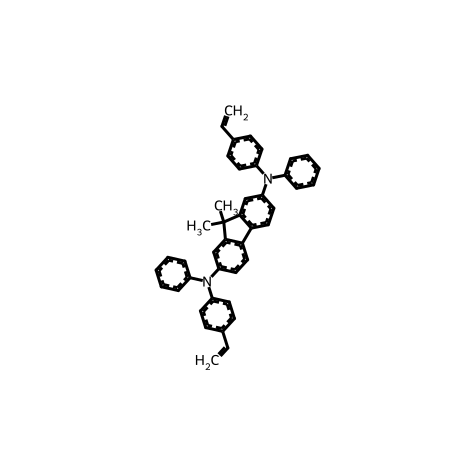 C=Cc1ccc(N(c2ccccc2)c2ccc3c(c2)C(C)(C)c2cc(N(c4ccccc4)c4ccc(C=C)cc4)ccc2-3)cc1